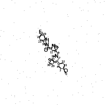 COc1ccc(CCN(Cc2cc(C(=O)NCc3ccc(F)cc3)no2)Cc2cccs2)cc1